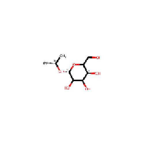 CC(C)[C@H](C)O[C@@H]1OC(CO)[C@@H](O)C(O)C1O